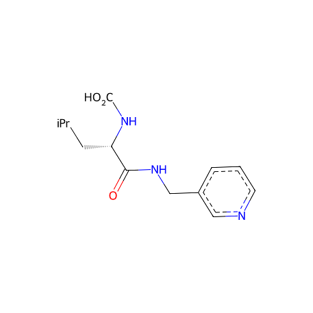 CC(C)C[C@H](NC(=O)O)C(=O)NCc1cccnc1